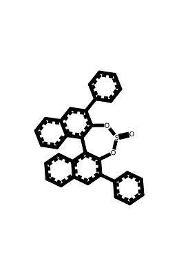 O=S1Oc2c(-c3ccccc3)cc3ccccc3c2-c2c(c(-c3ccccc3)cc3ccccc23)O1